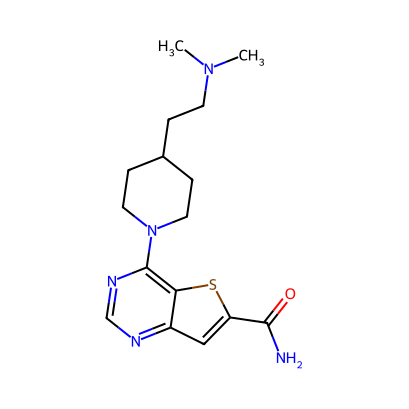 CN(C)CCC1CCN(c2ncnc3cc(C(N)=O)sc23)CC1